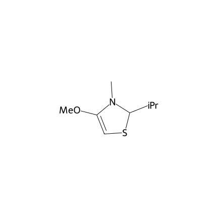 COC1=CSC(C(C)C)N1C